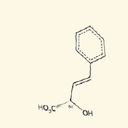 O=C(O)[C@@H](O)C=Cc1ccccc1